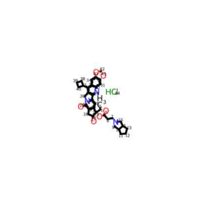 CCC1(OC(=O)CCN2CC3CCCC3C2)C(=O)Cc2c1cc1n(c2=O)Cc2c-1nc1cc3c(cc1c2C1CCC1)OCO3.Cl